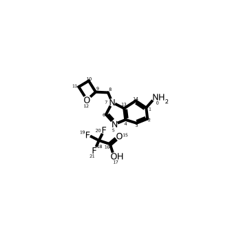 Nc1ccc2ncn(CC3CCO3)c2c1.O=C(O)C(F)(F)F